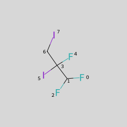 FC(F)C(F)(I)CI